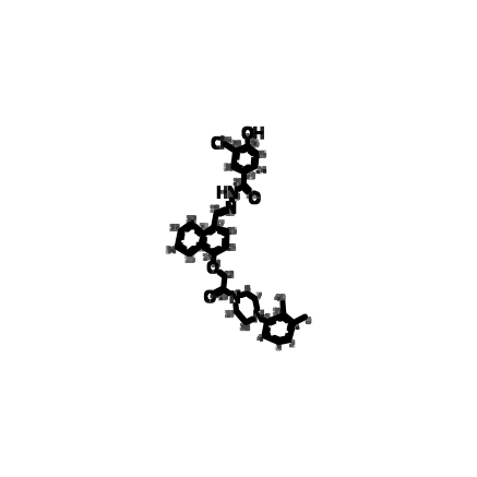 Cc1cccc(N2CCN(C(=O)COc3ccc(/C=N/NC(=O)c4ccc(O)c(Cl)c4)c4ccccc34)CC2)c1C